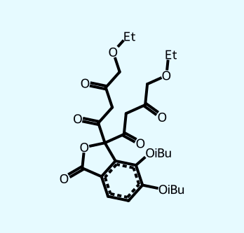 CCOCC(=O)CC(=O)C1(C(=O)CC(=O)COCC)OC(=O)c2ccc(OCC(C)C)c(OCC(C)C)c21